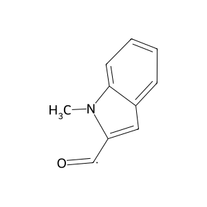 Cn1c([C]=O)cc2ccccc21